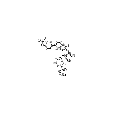 Cn1c(=O)oc2ccc(-c3ccc4[nH]c(CC(C#N)NC(=O)[C@@H]5CN(C(=O)OC(C)(C)C)CCCO5)cc4c3)cc21